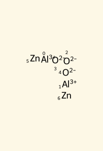 [Al+3].[Al+3].[O-2].[O-2].[O-2].[Zn].[Zn]